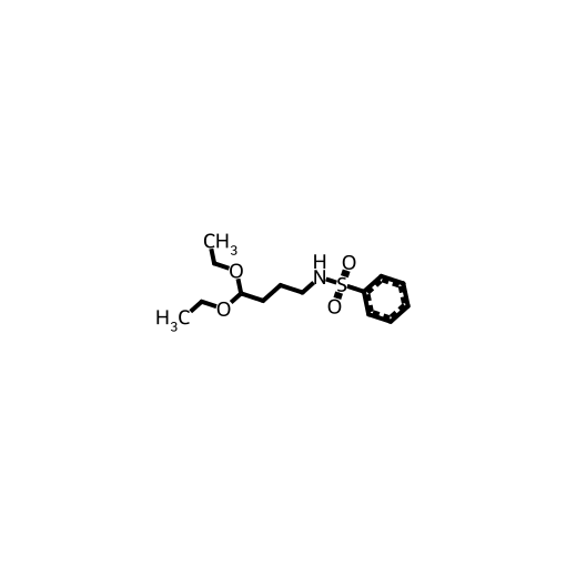 CCOC(CCCNS(=O)(=O)c1ccccc1)OCC